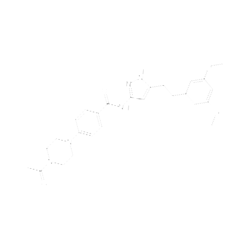 COc1cc(CCc2cc(NC(=O)c3ccc(N4CCN(C(C)=O)CC4)cc3)n[nH]2)cc(OC)c1